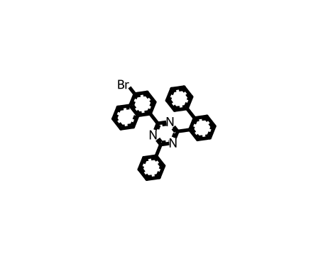 Brc1ccc(-c2nc(-c3ccccc3)nc(-c3ccccc3-c3ccccc3)n2)c2ccccc12